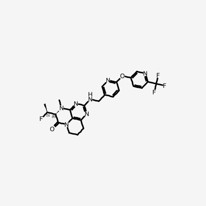 C[C@H](F)[C@H]1C(=O)N2CCCc3nc(NCc4ccc(Oc5ccc(C(F)(F)F)nc5)nc4)nc(c32)N1C